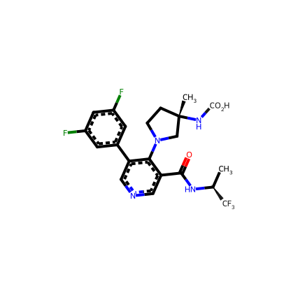 C[C@H](NC(=O)c1cncc(-c2cc(F)cc(F)c2)c1N1CC[C@](C)(NC(=O)O)C1)C(F)(F)F